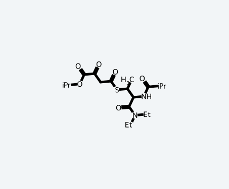 CCN(CC)C(=O)C(NC(=O)C(C)C)C(C)SC(=O)CC(=O)C(=O)OC(C)C